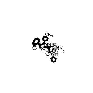 Cc1ccc(-c2c(-c3ccccc3Cl)cnc3c(C(=O)NC4CCCC4)c(S(N)(=O)=O)nn23)cc1